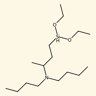 CCCCN(CCCC)C(C)CC[SiH](OCC)OCC